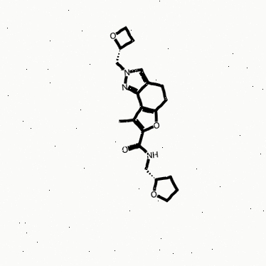 Cc1c(C(=O)NC[C@@H]2CCCO2)oc2c1-c1nn(C[C@H]3CCO3)cc1CC2